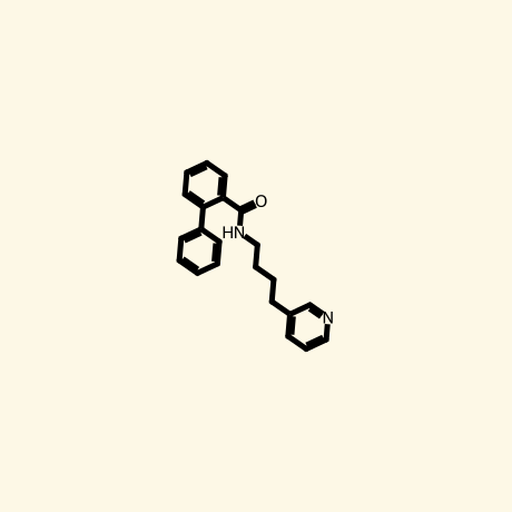 O=C(NCCCCc1cccnc1)c1ccccc1-c1ccccc1